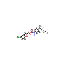 C=C1C=C(C)c2ccc(NC(=O)OCc3cc4cc(Br)ccc4o3)cc2O1